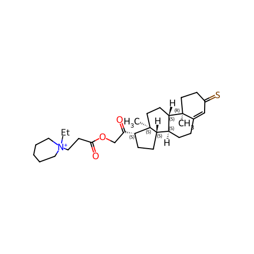 CC[N+]1(CCC(=O)OCC(=O)[C@H]2CC[C@H]3[C@@H]4CCC5=CC(=S)CC[C@]5(C)[C@H]4CC[C@]23C)CCCCC1